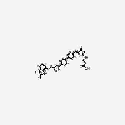 O=C(O)CCNC1=NC(=O)C(=Cc2ccc(N3CCC(NC[C@H](O)COc4cccc5[nH]c(=O)[nH]c45)CC3)cc2)S1